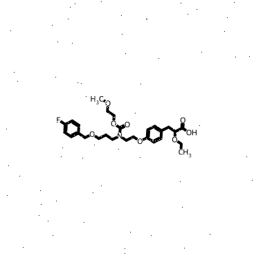 CCOC(Cc1ccc(OCCN(CCCOCc2ccc(F)cc2)C(=O)OCCOC)cc1)C(=O)O